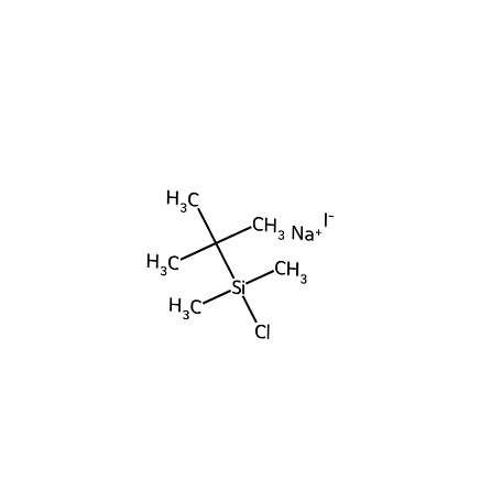 CC(C)(C)[Si](C)(C)Cl.[I-].[Na+]